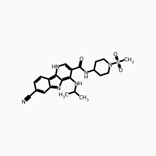 CC(C)Nc1c(C(=O)NC2CCN(S(C)(=O)=O)CC2)c[nH]c2c3ccc(C#N)cc3nc1-2